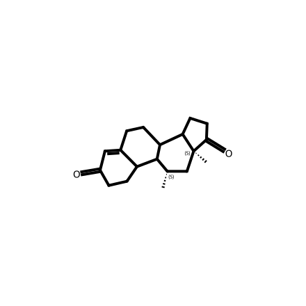 C[C@H]1C[C@]2(C)C(=O)CCC2C2CCC3=CC(=O)CCC3C21